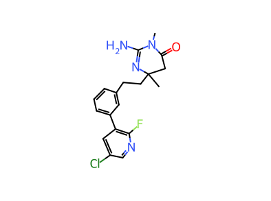 CN1C(=O)CC(C)(CCc2cccc(-c3cc(Cl)cnc3F)c2)N=C1N